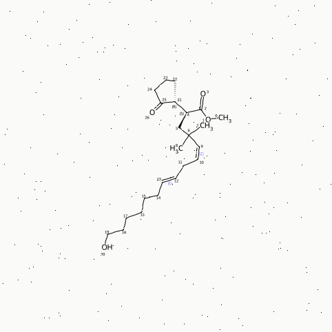 COC(=O)[C@@H](CC(C)(C)/C=C\C/C=C/CCCCCCO)[C@H]1CCCC1=O